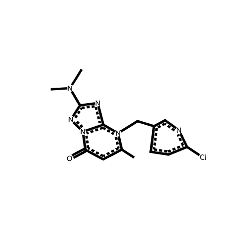 Cc1cc(=O)n2nc(N(C)C)nc2n1Cc1ccc(Cl)nc1